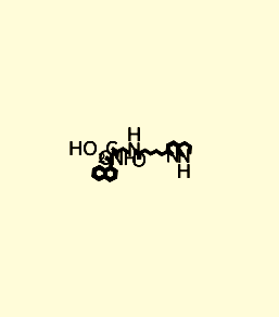 O=C(CCCCc1ccc2c(n1)NCCC2)NCCC(NC(=O)c1cccc2ccccc12)C(=O)O